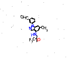 Cc1cc(NCC2(C(F)(F)F)CO2)c2cnn(-c3cccc(C=O)c3)c2c1